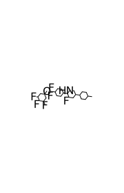 CC1CCC(C2CNC(C3CCC(C(F)(F)OC4CC(F)C(F)C(F)C4)CC3)C(F)C2)CC1